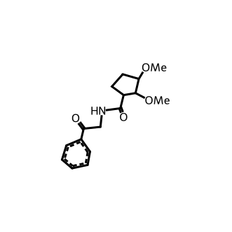 COC1CCC(C(=O)NCC(=O)c2ccccc2)C1OC